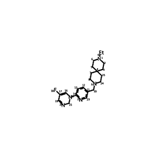 CCN1CCC2(CC1)CCN(Cc1ccc(N3C=C(F)C=NC3)nc1)CC2